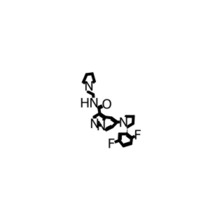 O=C(NCCN1CCCC1)c1cnn2ccc(N3CCC[C@@H]3c3cc(F)ccc3F)cc12